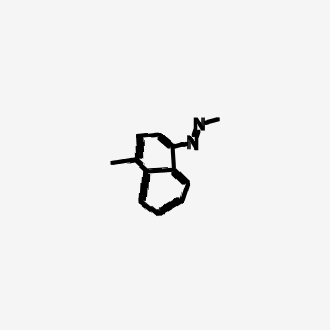 C/N=N/c1ccc(C)c2ccccc12